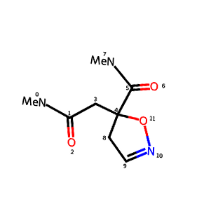 CNC(=O)CC1(C(=O)NC)CC=NO1